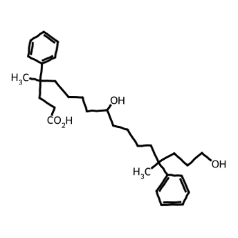 CC(CCCO)(CCCCC(O)CCCCC(C)(CCC(=O)O)c1ccccc1)c1ccccc1